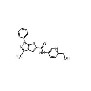 Cc1nn(-c2ccccc2)c2sc(C(=O)Nc3ccc(CO)nc3)cc12